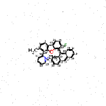 Cc1ccc2c(oc3c(-c4c5ccccc5cc5ccccc45)c(F)ccc32)c1-c1cccc[n+]1C